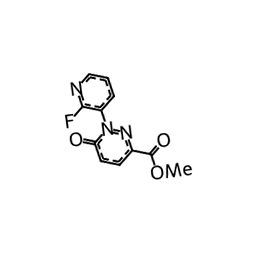 COC(=O)c1ccc(=O)n(-c2cccnc2F)n1